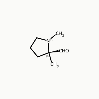 C[N+]1CCC[C@]1(C)C=O